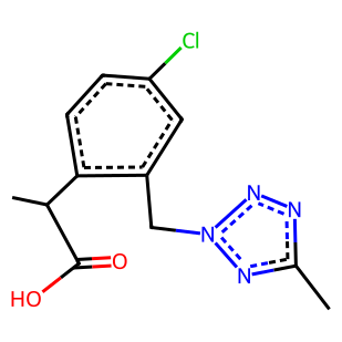 Cc1nnn(Cc2cc(Cl)ccc2C(C)C(=O)O)n1